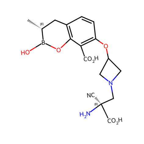 C[C@@H]1Cc2ccc(OC3CN(C[C@@](N)(C#N)C(=O)O)C3)c(C(=O)O)c2OB1O